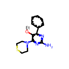 CCOc1c(-c2ccccc2)nc(N)nc1N1CCSCC1